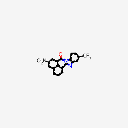 O=c1c2cc([N+](=O)[O-])cc3cccc(c32)c2nc3cc(C(F)(F)F)ccc3n12